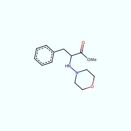 COC(=O)C(Cc1ccccc1)NN1CCOCC1